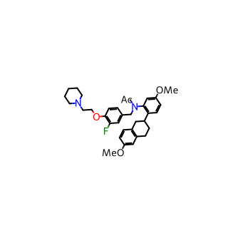 COc1ccc2c(c1)CCC(c1ccc(OC)cc1N(Cc1ccc(OCCN3CCCCC3)c(F)c1)C(C)=O)C2